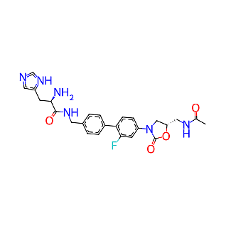 CC(=O)NC[C@H]1CN(c2ccc(-c3ccc(CNC(=O)[C@H](N)Cc4cnc[nH]4)cc3)c(F)c2)C(=O)O1